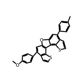 COc1ccc(-c2cc3oc4cc(-c5ccc(C)cc5)c5ccsc5c4c3c3sccc23)cc1